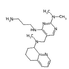 CN(C)c1ncc(CN(C)C2CCCc3cccnc32)c(NCCCN)n1